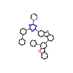 C1=CCC(c2nc(-c3cccc(-c4ccccc4)c3)nc(-c3ccc4c(c3)sc3cccc(-c5cc(-c6ccccc6)c6oc7ccccc7c6c5)c34)n2)C=C1